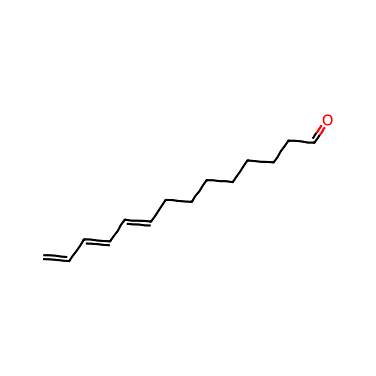 C=C/C=C/C=C/CCCCCCCC=O